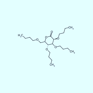 CCCCOCC1OC(=O)[C@@H](OCCCC)C(OCCCC)[C@@H]1OCCCC